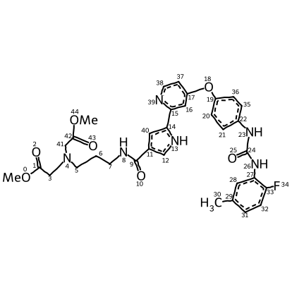 COC(=O)CN(CCCNC(=O)c1c[nH]c(-c2cc(Oc3ccc(NC(=O)Nc4cc(C)ccc4F)cc3)ccn2)c1)CC(=O)OC